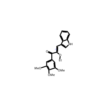 CCO/C(=C\c1c[nH]c2ccccc12)C(=O)c1cc(OC)c(OC)c(OC)c1